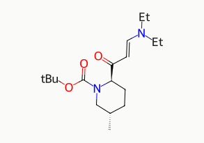 CCN(/C=C/C(=O)[C@H]1CC[C@H](C)CN1C(=O)OC(C)(C)C)CC